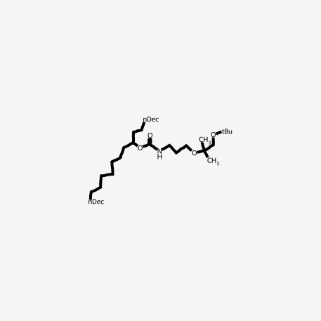 CCCCCCCCCCCCCCCCCC(CCCCCCCCCCCC)OC(=O)NCCCOC(C)(C)COC(C)(C)C